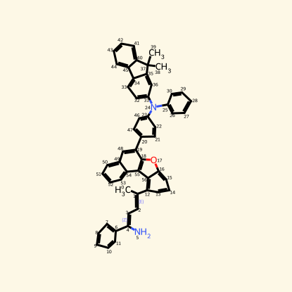 C/C(=C\C=C(/N)c1ccccc1)c1cccc2oc3c(-c4ccc(N(c5ccccc5)c5ccc6c(c5)C(C)(C)c5ccccc5-6)cc4)cc4ccccc4c3c12